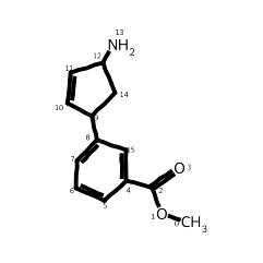 COC(=O)c1cccc(C2C=CC(N)C2)c1